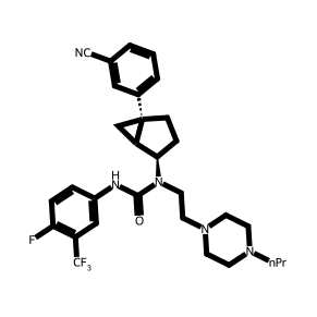 CCCN1CCN(CCN(C(=O)Nc2ccc(F)c(C(F)(F)F)c2)[C@@H]2CC[C@]3(c4cccc(C#N)c4)CC23)CC1